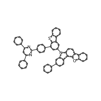 c1ccc(-c2ccc3c4c5oc6ccccc6c5ccc4n(-c4cc(-c5ccc(-c6nc(-c7ccccc7)cc(-c7ccccc7)n6)cc5)c5sc6ccccc6c5c4)c3c2)cc1